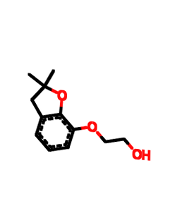 CC1(C)Cc2cccc(OCCO)c2O1